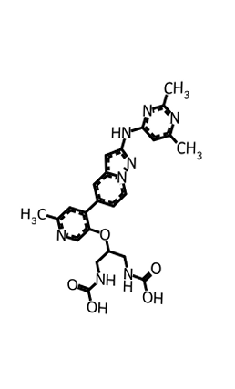 Cc1cc(-c2ccn3nc(Nc4cc(C)nc(C)n4)cc3c2)c(OC(CNC(=O)O)CNC(=O)O)cn1